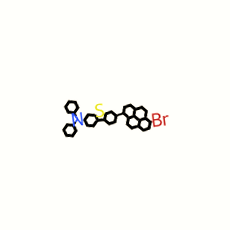 Brc1ccc2ccc3c(-c4ccc5c(c4)sc4cc(N(c6ccccc6)c6ccccc6)ccc45)ccc4ccc1c2c43